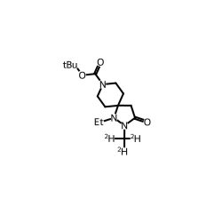 [2H]C([2H])([2H])N1C(=O)CC2(CCN(C(=O)OC(C)(C)C)CC2)N1CC